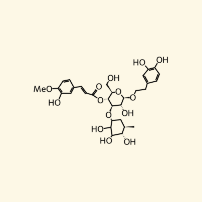 COc1ccc(/C=C/C(=O)O[C@H]2[C@H](O[C@@H]3C[C@@H](C)[C@H](O)[C@@H](O)C3O)[C@@H](O)[C@H](OCCc3ccc(O)c(O)c3)O[C@@H]2CO)cc1O